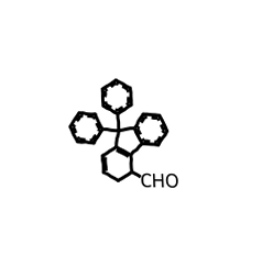 O=CC1CC=CC2=C1c1ccccc1C2(c1ccccc1)c1ccccc1